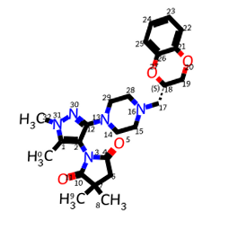 Cc1c(N2C(=O)CC(C)(C)C2=O)c(N2CCN(C[C@H]3COc4ccccc4O3)CC2)nn1C